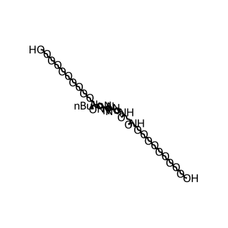 CCCCC(=O)N(CCOCCOCCOCCOCCOCCOCCOCCOCCOCCO)c1ccc(-c2nnc(-c3ccc(NC(=O)CCCC(=O)NCCOCCOCCOCCOCCOCCOCCOCCOCCOCCO)cn3)nn2)nc1